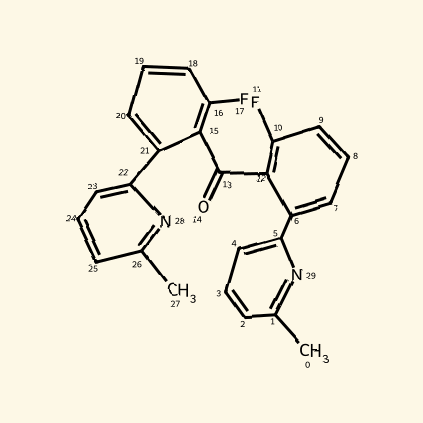 Cc1cccc(-c2cccc(F)c2C(=O)c2c(F)cccc2-c2cccc(C)n2)n1